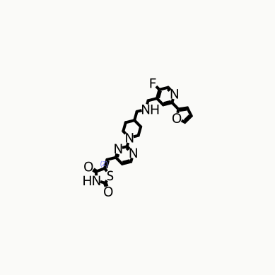 O=C1NC(=O)/C(=C/c2ccnc(N3CCC(CNCc4cc(-c5ccco5)ncc4F)CC3)n2)S1